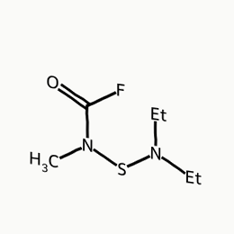 CCN(CC)SN(C)C(=O)F